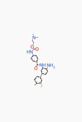 Cc1ccc(-c2ccc(N)c(NC(=O)c3ccc(NC(=O)OCCN(C)C)cc3)c2)cc1F